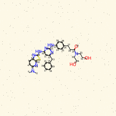 CN(C)c1ccc2nc(Nc3cc(Cc4ccccc4)nc(Nc4ccc(CCC(=O)N(CCO)CCO)cc4)n3)sc2n1